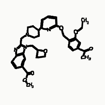 CCOc1cc(C(C)=O)ccc1COc1cccc(C2CCN(Cc3nc4ccc(C(=O)OC)cc4n3CC3CCO3)CC2)n1